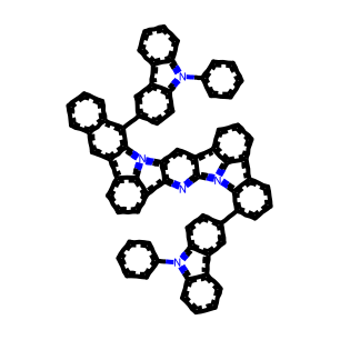 c1ccc(-n2c3ccccc3c3cc(-c4c5ccccc5cc5c6cccc7c8nc9c(cc8n(c45)c67)c4cccc5c6cccc(-c7ccc8c(c7)c7ccccc7n8-c7ccccc7)c6n9c45)ccc32)cc1